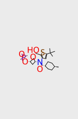 CC(C)(C)c1cc(N(C(=O)[C@H]2CC[C@H](C)CC2)[C@H]2C[C@@H](OP(C)(C)=O)C2)c(C(=O)O)s1